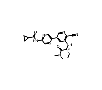 CC[C@@H](Nc1cc(-c2cnc(NC(=O)C3CC3)cn2)cnc1C#N)C(=O)N(C)C